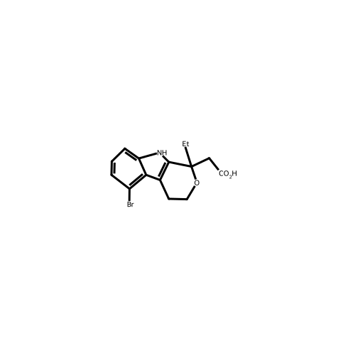 CCC1(CC(=O)O)OCCc2c1[nH]c1cccc(Br)c21